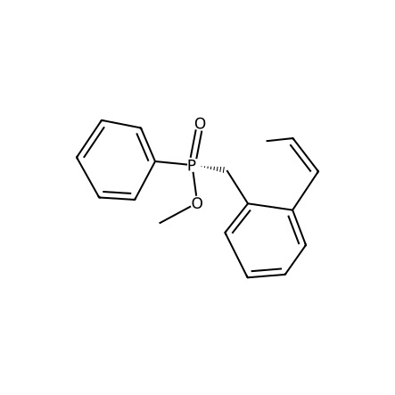 C/C=C\c1ccccc1C[P@](=O)(OC)c1ccccc1